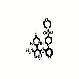 NC(N)C(C(=O)Nc1cnccc1N1CCC(S(=O)(=O)N2CCOCC2)CC1)C1NCC(F)CN1